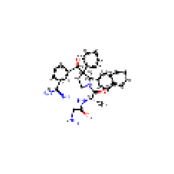 C[C@H](NC(=O)CN)C(=O)N1CCC(C(=O)c2cccc(C(=N)N)c2)(c2ccccc2)[C@@]1(C(=O)O)c1ccc2ccccc2c1